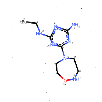 CC(C)(C)CNc1nc(N)nc(N2CCNOCC2)n1